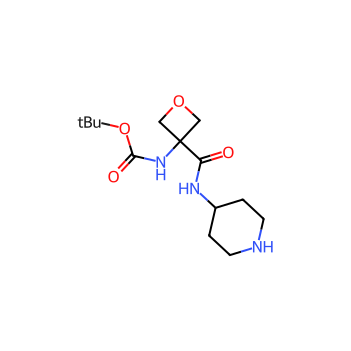 CC(C)(C)OC(=O)NC1(C(=O)NC2CCNCC2)COC1